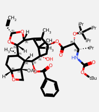 C=C[C@@H]1O[C@@H]2C3=C(C)[C@@H](OC(=O)[C@H](O[Si](C(C)C)(C(C)C)C(C)C)[C@@H](NC(=O)OC(C)(C)C)C(C)C)C[C@@](O)([C@@H](OC(=O)c4ccccc4)[C@H]4[C@@](C)(CC[C@H]5OC[C@]54OC(C)=O)[C@@H]2O1)C3(C)C